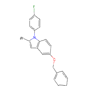 CC(C)c1cc2cc(OCc3ccccc3)ccc2n1-c1ccc(F)cc1